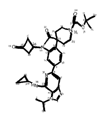 CC(C)n1cnc2cc(-c3ccc4c(c3)N(C3CC(=O)C3)C(=O)C43CCN(C(=O)OC(C)(C)C)CC3)nc(NC3CC3)c21